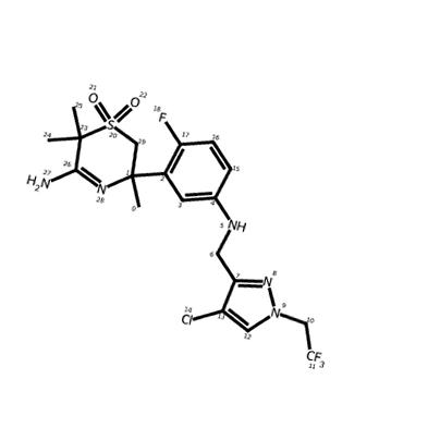 CC1(c2cc(NCc3nn(CC(F)(F)F)cc3Cl)ccc2F)CS(=O)(=O)C(C)(C)C(N)=N1